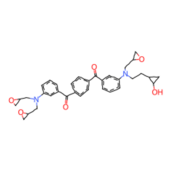 O=C(c1ccc(C(=O)c2cccc(N(CC3CO3)CC3CO3)c2)cc1)c1cccc(N(CCC2CC2O)CC2CO2)c1